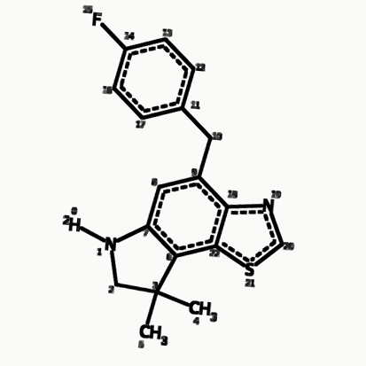 [2H]N1CC(C)(C)c2c1cc(Cc1ccc(F)cc1)c1ncsc21